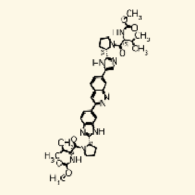 COC(=O)N[C@H](C(=O)N1CCC[C@H]1c1ncc(-c2ccc3cc(-c4ccc5nc([C@@H]6CCCN6C(=O)[C@@H](NC(=O)OC)C(C)C)[nH]c5c4)nnc3c2)[nH]1)C(C)C